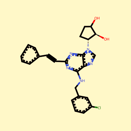 OC1CC[C@@H](n2cnc3c(NCc4cccc(Cl)c4)nc(C#Cc4ccccc4)nc32)[C@@H]1O